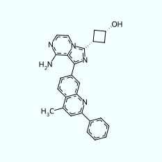 Cc1cc(-c2ccccc2)nc2cc(-c3nc([C@H]4C[C@@H](O)C4)n4ccnc(N)c34)ccc12